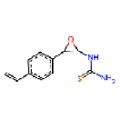 C=Cc1ccc(C2OC2NC(N)=S)cc1